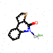 Br.Cn1c(=O)c2sccc2c2ccccc21